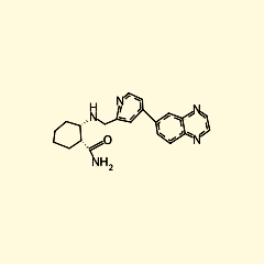 NC(=O)[C@@H]1CCCC[C@@H]1NCc1cc(-c2ccc3nccnc3c2)ccn1